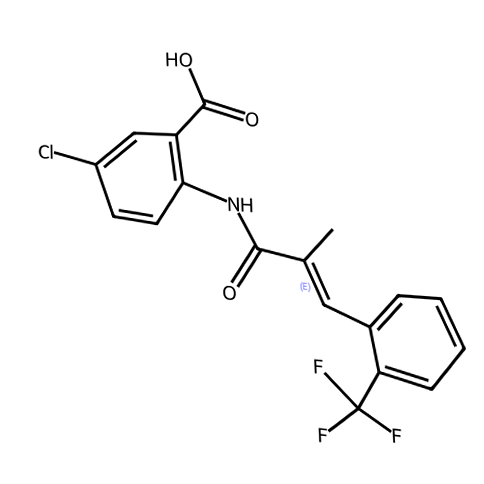 C/C(=C\c1ccccc1C(F)(F)F)C(=O)Nc1ccc(Cl)cc1C(=O)O